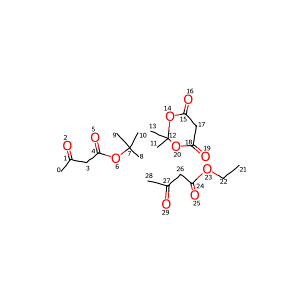 CC(=O)CC(=O)OC(C)(C)C.CC1(C)OC(=O)CC(=O)O1.CCOC(=O)CC(C)=O